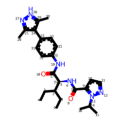 CCC(CC)[C@H](NC(=O)c1ccnn1C(C)C)C(=O)Nc1ccc(-c2c(C)n[nH]c2C)cc1